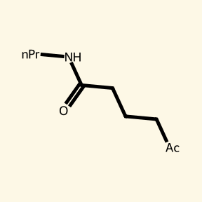 CCCNC(=O)CCCC(C)=O